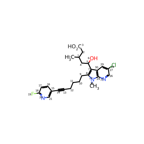 CC(CC(=O)O)CC(O)c1c(CCCCC#Cc2ccc(F)nc2)n(C)c2ncc(Cl)cc12